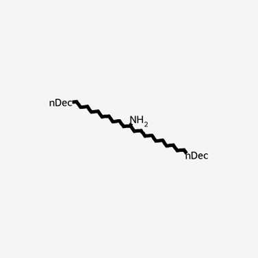 CCCCCCCCCCCCCCCCCCCCC(N)CCCCCCCCCCCCCCCCCCCC